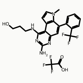 Cn1ccc2c3c(NCCCO)nc(N)nc3cc(-c3ccccc3C(F)(F)F)c21.O=C(O)C(F)(F)F